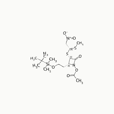 CS[C@@H](C[N+](=O)[O-])S[C@@H]1C(=O)N(OC(C)=O)[C@@H]1CCO[Si](C)(C)C(C)(C)C